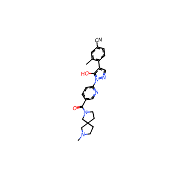 Cc1cc(C#N)ccc1-c1cnn(-c2ccc(C(=O)N3CCC4(CCN(C)C4)C3)cn2)c1O